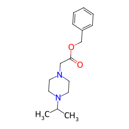 CC(C)N1CCN(CC(=O)OCc2ccccc2)CC1